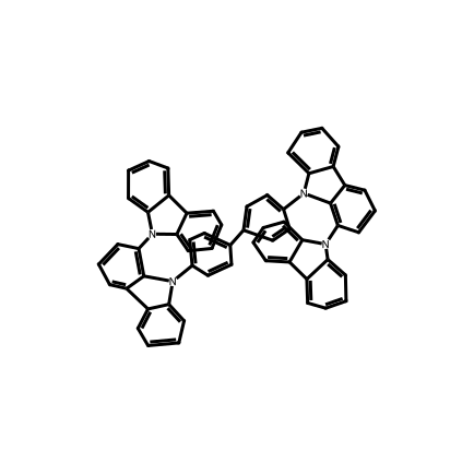 c1ccc2c(c1)c1ccccc1n2-c1cccc2c3ccccc3n(-c3ccc(-c4ccc(-n5c6ccccc6c6cccc(-n7c8ccccc8c8ccccc87)c65)cc4)cc3)c12